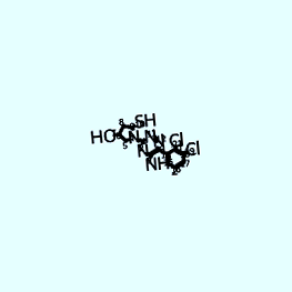 Nc1nc(N2CC(O)CC2S)nnc1-c1cccc(Cl)c1Cl